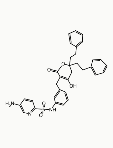 Nc1ccc(S(=O)(=O)Nc2cccc(CC3=C(O)CC(CCc4ccccc4)(CCc4ccccc4)OC3=O)c2)nc1